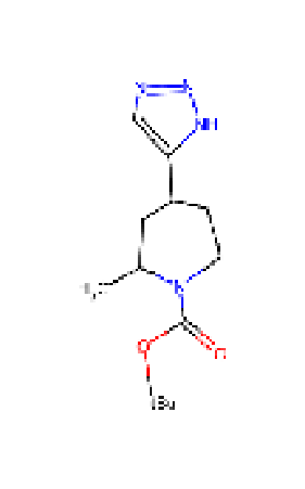 CC1CC(c2cnn[nH]2)CCN1C(=O)OC(C)(C)C